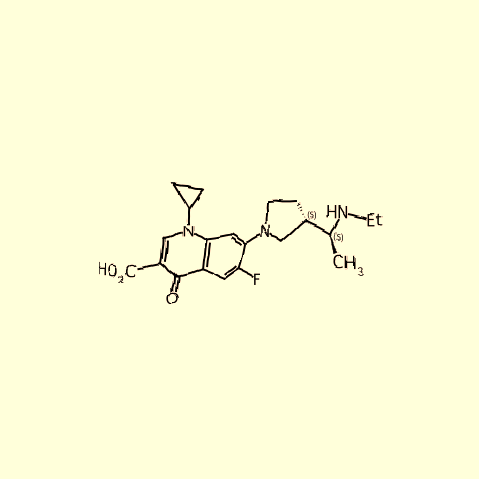 CCN[C@@H](C)[C@H]1CCN(c2cc3c(cc2F)c(=O)c(C(=O)O)cn3C2CC2)C1